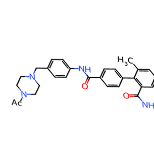 CC(=O)N1CCN(Cc2ccc(NC(=O)c3ccc(-c4c(C(N)=O)[c]ccc4C)cc3)cc2)CC1